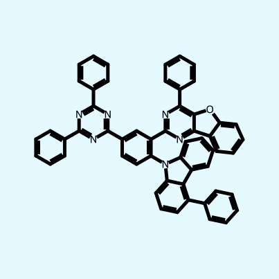 c1ccc(-c2nc(-c3ccccc3)nc(-c3ccc(-n4c5ccccc5c5c(-c6ccccc6)cccc54)c(-c4nc(-c5ccccc5)c5oc6ccccc6c5n4)c3)n2)cc1